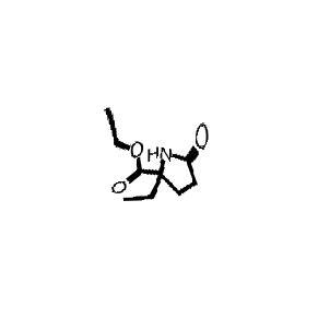 CCOC(=O)C1(CC)CCC(=O)N1